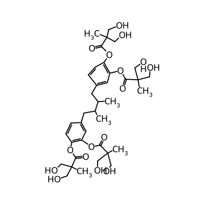 CC(Cc1ccc(OC(=O)C(C)(CO)CO)c(OC(=O)C(C)(CO)CO)c1)C(C)Cc1ccc(OC(=O)C(C)(CO)CO)c(OC(=O)C(C)(CO)CO)c1